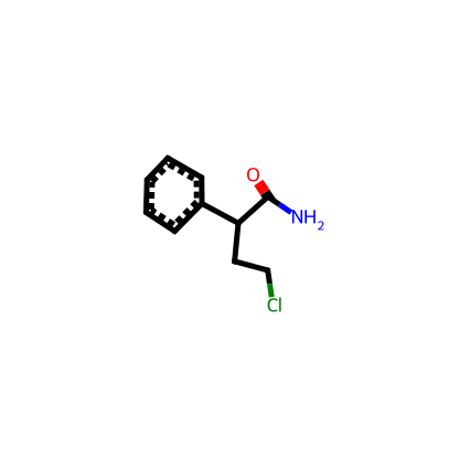 NC(=O)C(CCCl)c1ccccc1